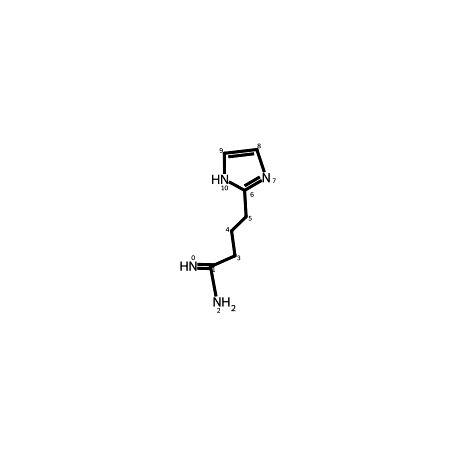 N=C(N)CCCc1ncc[nH]1